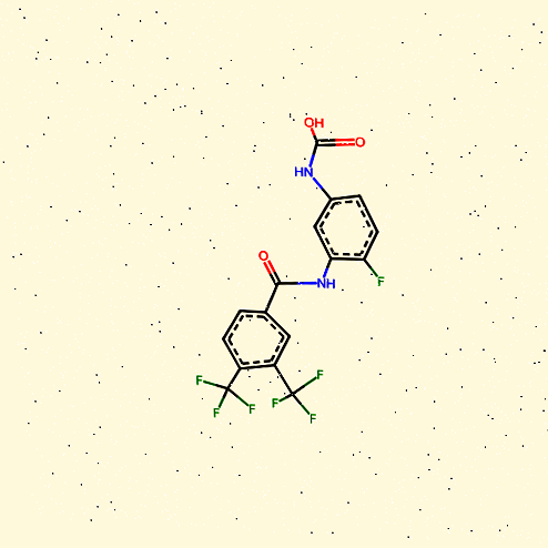 O=C(O)Nc1ccc(F)c(NC(=O)c2ccc(C(F)(F)F)c(C(F)(F)F)c2)c1